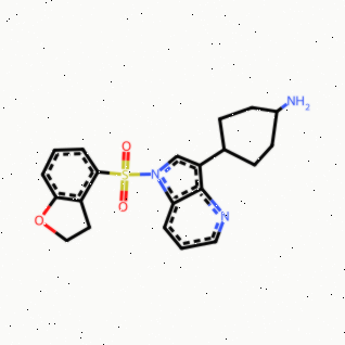 NC1CCC(c2cn(S(=O)(=O)c3cccc4c3CCO4)c3cccnc23)CC1